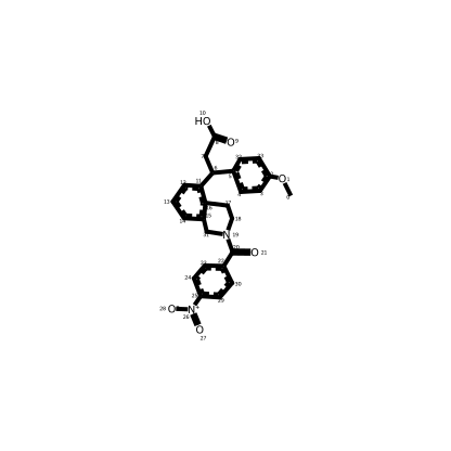 COc1ccc(C(CC(=O)O)c2cccc3c2CCN(C(=O)c2ccc([N+](=O)[O-])cc2)C3)cc1